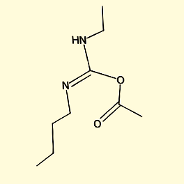 CCCC/N=C(/NCC)OC(C)=O